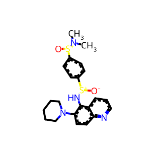 CN(C)[S+]([O-])c1ccc([S+]([O-])Nc2c(N3CCCCC3)ccc3ncccc23)cc1